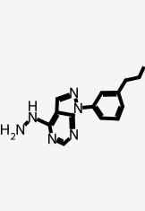 CCCc1cccc(-n2ncc3c(NN)ncnc32)c1